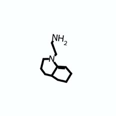 NCCN1CCCC2CCCC=C21